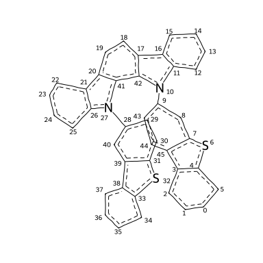 c1ccc2c(c1)sc1cc(-n3c4ccccc4c4ccc5c6ccccc6n(-c6ccc7sc8ccccc8c7c6)c5c43)ccc12